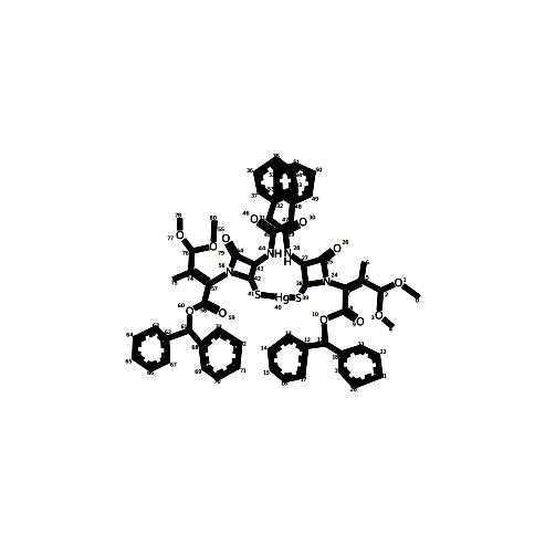 COC(OC)C(C)=C(C(=O)OC(c1ccccc1)c1ccccc1)N1C(=O)C(NC(=O)Cc2ccccc2)C1[S][Hg][S]C1C(NC(=O)Cc2ccccc2)C(=O)N1C(C(=O)OC(c1ccccc1)c1ccccc1)=C(C)C(OC)OC